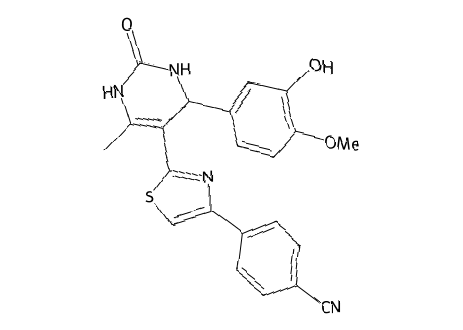 COc1ccc(C2NC(=O)NC(C)=C2c2nc(-c3ccc(C#N)cc3)cs2)cc1O